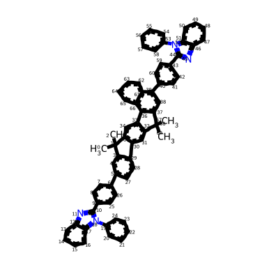 CC1(C)c2cc(-c3ccc(-c4nc5ccccc5n4-c4ccccc4)cc3)ccc2-c2cc3c(cc21)-c1c(cc(-c2ccc(-c4nc5ccccc5n4-c4ccccc4)cc2)c2ccccc12)C3(C)C